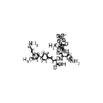 C[n+]1cc(-c2ccc(CCC(ON=C(C(=O)N[C@@H]3C(=O)N(OS(=O)(=O)[O-])C3(C)C)c3csc(N)n3)C(=O)O)cc2)cn1CCCN